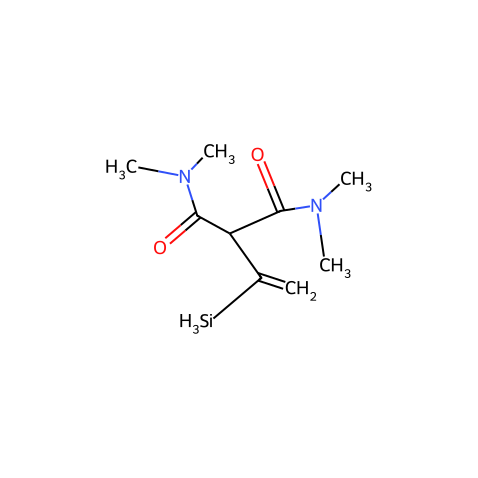 C=C([SiH3])C(C(=O)N(C)C)C(=O)N(C)C